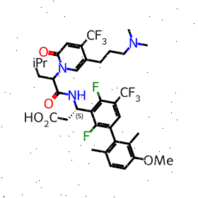 COc1ccc(C)c(-c2cc(C(F)(F)F)c(F)c([C@H](CC(=O)O)NC(=O)C(CC(C)C)n3cc(CCCN(C)C)c(C(F)(F)F)cc3=O)c2F)c1C